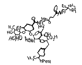 CCCCCC(C)C1CCC(C[C@H](OC2C(NC(C)=O)[C@H](O[C@@H]3CC(C(=O)NCCNC(=O)CCC(=O)NCCC(N)(CC)CCC)CC(CC)C3O[C@@H]3OC(C)[C@@H](O)C(O)C3O)OC(CO)[C@@H]2O)C(=O)O)CC1